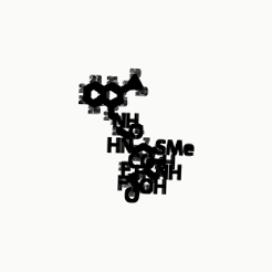 C1CCNC1.CSCCC(NC(=O)CNCc1cc(C2CC2)cc2ccccc12)C(=O)O.O=C(O)C(F)(F)F